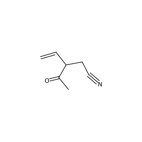 C=CC(CC#N)C(C)=O